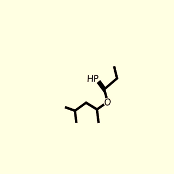 CCC(=P)OC(C)CC(C)C